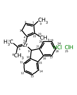 CC1=CC[C]([Zr](=[C](C)C)[CH]2c3ccccc3-c3ccccc32)=C1C.Cl.Cl